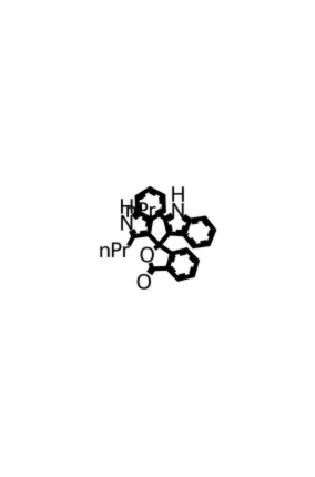 CCCc1[nH]c2ccccc2c1C1(c2c(CCC)[nH]c3ccccc23)OC(=O)c2ccccc21